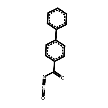 O=C=NC(=O)c1ccc(-c2ccccc2)cc1